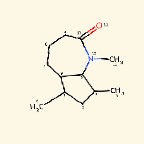 CC1CC(C)C2C1CCCC(=O)N2C